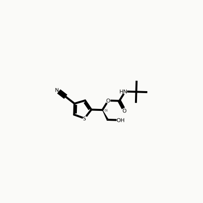 CC(C)(C)NC(=O)O[C@@H](CO)c1cc(C#N)cs1